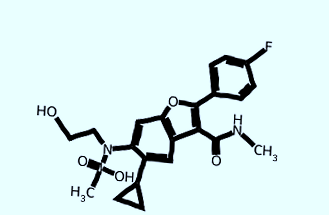 CNC(=O)c1c(-c2ccc(F)cc2)oc2cc(N(CCO)I(C)(=O)O)c(C3CC3)cc12